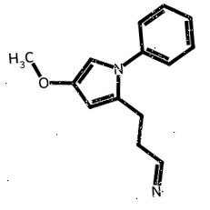 COc1cc(CCC=[N])n(-c2ccccc2)c1